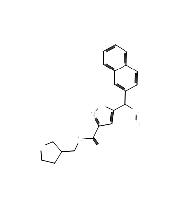 COC(c1ccc2ccccc2c1)c1cc(C(=O)NCC2CCOC2)no1